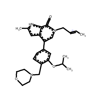 C/C=C/Cn1cc(-c2ccc(CN3CCOCC3)c(OC(C)C)c2)c2cc(C)[nH]c2c1=O